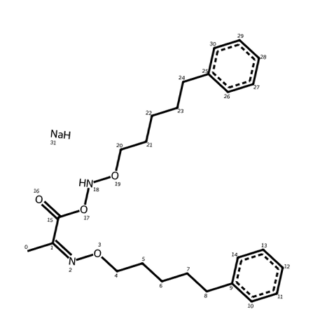 CC(=NOCCCCCc1ccccc1)C(=O)ONOCCCCCc1ccccc1.[NaH]